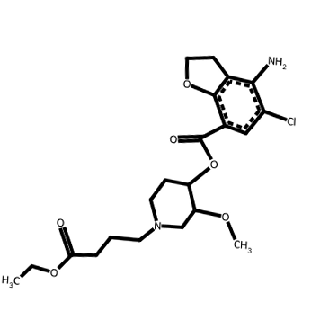 CCOC(=O)CCCN1CCC(OC(=O)c2cc(Cl)c(N)c3c2OCC3)C(OC)C1